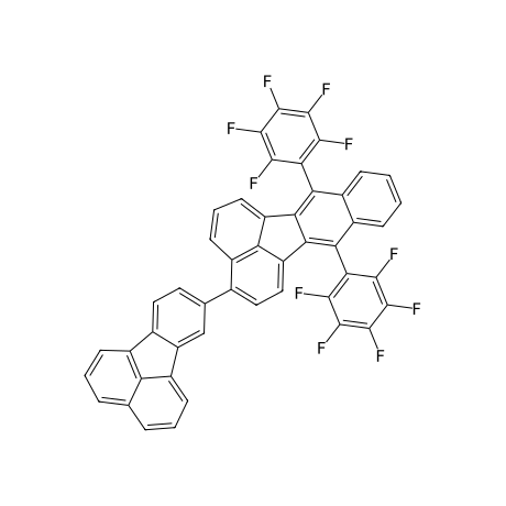 Fc1c(F)c(F)c(-c2c3c(c(-c4c(F)c(F)c(F)c(F)c4F)c4ccccc24)-c2ccc(-c4ccc5c(c4)-c4cccc6cccc-5c46)c4cccc-3c24)c(F)c1F